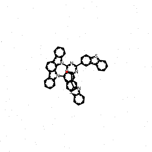 c1ccc(-c2nc(-c3ccc4sc5ccccc5c4c3)nc(-n3c4ccccc4c4ccc5c6ccccc6n(-c6cccc(-c7nc8ccccc8s7)c6)c5c43)n2)cc1